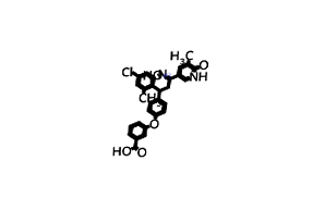 Cc1cc(Cl)ccc1C(C/C(=N\O)c1c[nH]c(=O)c(C)c1)c1ccc(Oc2cccc(C(=O)O)c2)cc1